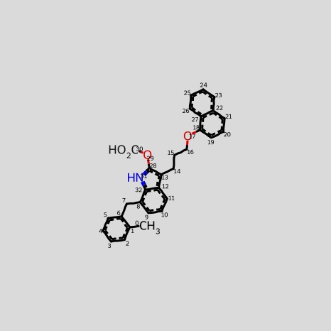 Cc1ccccc1Cc1cccc2c(CCCOc3cccc4ccccc34)c(OC(=O)O)[nH]c12